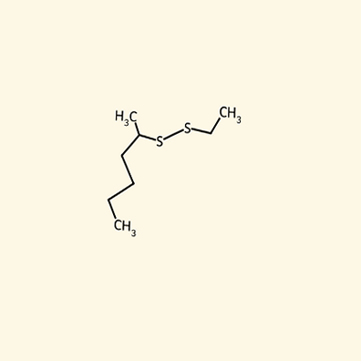 CCCCC(C)SSCC